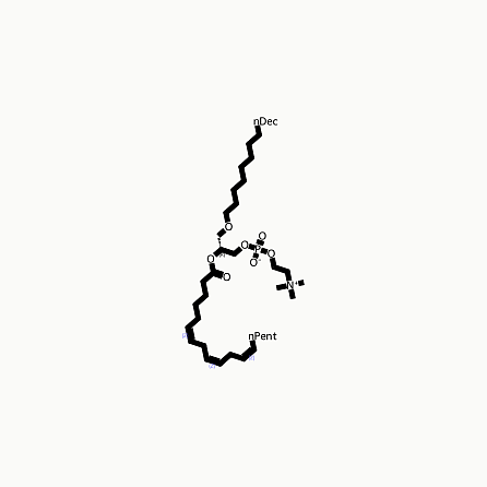 CCCCC/C=C\C/C=C\C/C=C\CCCCC(=O)O[C@H](COCCCCCCCCCCCCCCCCCC)COP(=O)([O-])OCC[N+](C)(C)C